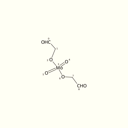 O=CC[O][Mo](=[O])(=[O])[O]CC=O